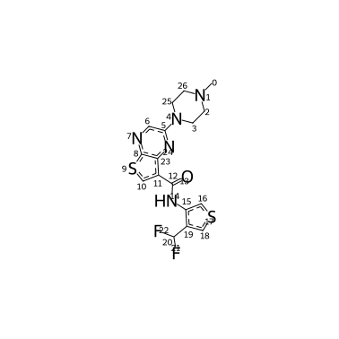 CN1CCN(c2cnc3scc(C(=O)Nc4cscc4C(F)F)c3n2)CC1